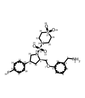 NCc1cccc(OC[C@H]2C[C@@H](c3ccc(F)cc3)CN2S(=O)(=O)N2CCS(=O)(=O)CC2)c1